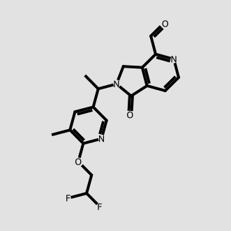 Cc1cc(C(C)N2Cc3c(ccnc3C=O)C2=O)cnc1OCC(F)F